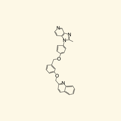 Cc1nc2cnccc2n1-c1ccc(OCc2cccc(OCc3ccc4ccccc4n3)c2)cc1